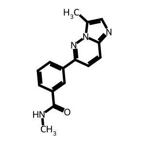 CNC(=O)c1cccc(-c2ccc3ncc(C)n3n2)c1